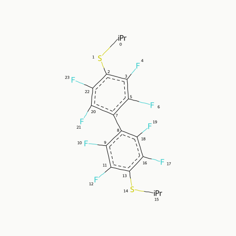 CC(C)Sc1c(F)c(F)c(-c2c(F)c(F)c(SC(C)C)c(F)c2F)c(F)c1F